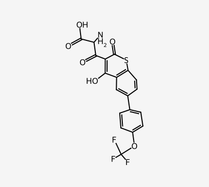 NC(C(=O)O)C(=O)c1c(O)c2cc(-c3ccc(OC(F)(F)F)cc3)ccc2sc1=O